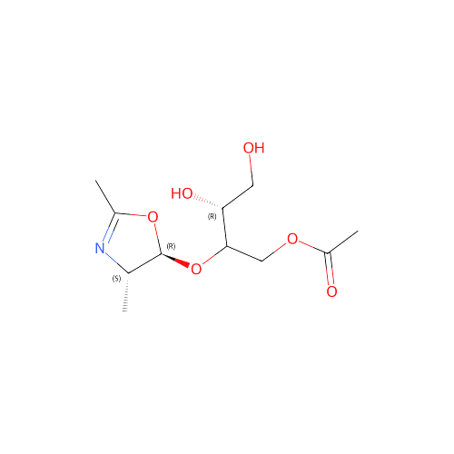 CC(=O)OCC(O[C@@H]1OC(C)=N[C@H]1C)[C@H](O)CO